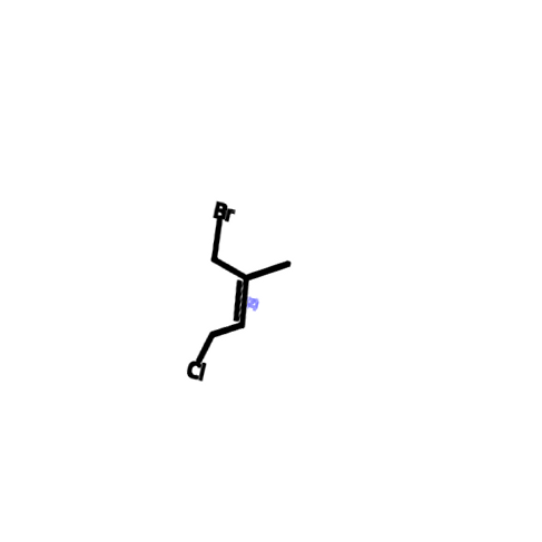 C/C(=C/CCl)CBr